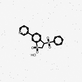 Cl.O=S1(=O)CC(S(=O)(=O)c2ccccc2)c2ccc(-c3cccnc3)cc21